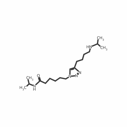 CC(C)NCCCCc1cn(CCCCCC(=O)NC(C)C)nn1